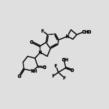 O=C(O)C(F)(F)F.O=CC1CN(c2cc(F)c3c(c2)CN(C2CCC(=O)NC2=O)C3=O)C1